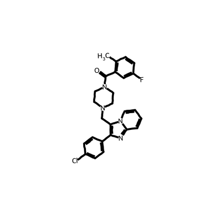 Cc1ccc(F)cc1C(=O)N1CCN(Cc2c(-c3ccc(Cl)cc3)nc3ccccn23)CC1